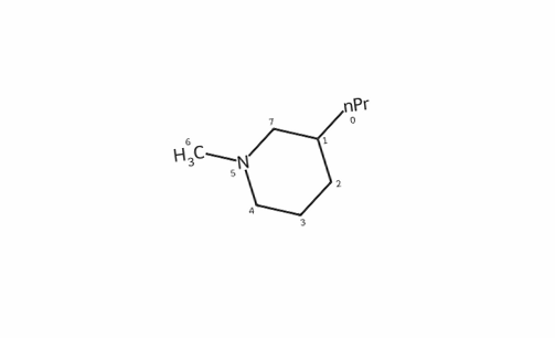 [CH2]CCC1CCCN(C)C1